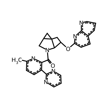 Cc1ccc(-c2ncccn2)c(C(=O)N2CC3CC34CC(Oc3ccc5cccnc5n3)C24)n1